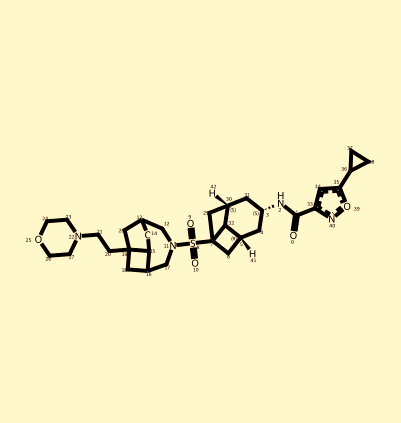 O=C(N[C@@H]1C[C@@H]2CC3(S(=O)(=O)N4CC5CC6C(C4)CC6(CCN4CCOCC4)C5)C[C@H](C1)C23)c1cc(C2CC2)on1